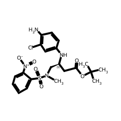 CN(C[C@H](CC(=O)OC(C)(C)C)Nc1ccc(N)c(Cl)c1)S(=O)(=O)c1ccccc1[N+](=O)[O-]